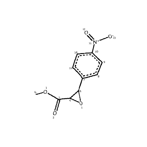 COC(=O)C1OC1c1ccc([N+](=O)[O-])cc1